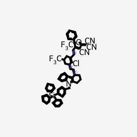 N#CC(C#N)=C1OC(c2ccccc2)(C(F)(F)F)C(/C=C/C2=C(Cl)C(=C\C=C3\CCCc4c3c3ccccc3n4Cc3ccc([Si](c4ccccc4)(c4ccccc4)c4ccccc4)cc3)/CC(C(F)(F)F)C2)=C1C#N